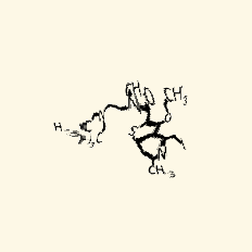 CCOc1c(C(=O)N(C)CCN(CC)CC)sc2cc(C)nc(CI)c12